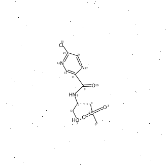 CS(=O)(=O)C[C@H](CO)NC(=O)c1cnc(Cl)cn1